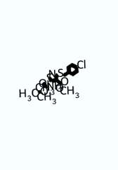 COC(=O)c1c(SCc2ccc(Cl)cc2)nsc1NC(=O)OC(C)(C)C